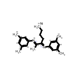 CCCCC(=N\c1cc(C)cc(C)c1)/C(C)=N/c1cc(C)cc(C)c1.[Ni]